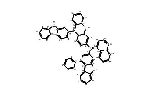 c1ccc(-c2cc(N(c3ccc4c(c3)Oc3ccccc3N4c3ccc4c(c3)oc3ccccc34)c3ccnc4ccccc34)cc3oc4ccccc4c23)cc1